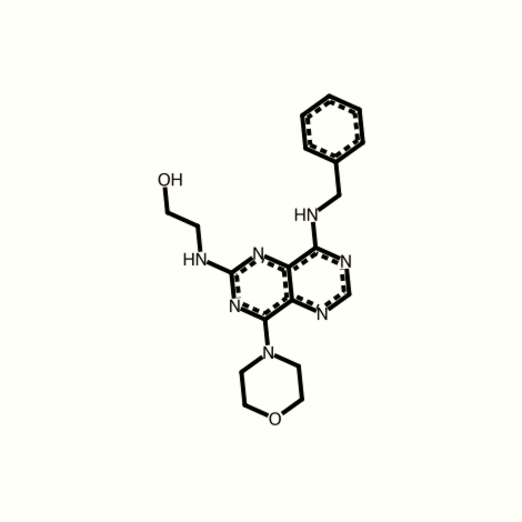 OCCNc1nc(N2CCOCC2)c2ncnc(NCc3ccccc3)c2n1